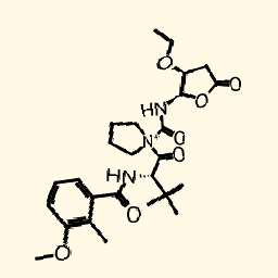 CCO[C@H]1CC(=O)O[C@H]1NC(=O)[N+]1(C(=O)[C@@H](NC(=O)c2cccc(OC)c2C)C(C)(C)C)CCCC1